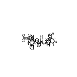 COc1cccc2nc(CNC(=O)Oc3cc(Cl)nc4c(C5CC5)cnn34)cn12